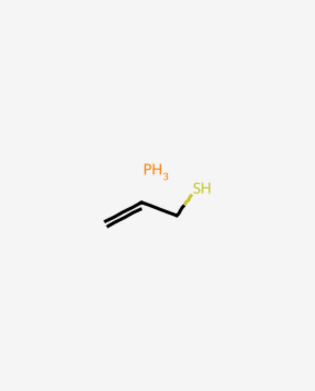 C=CCS.P